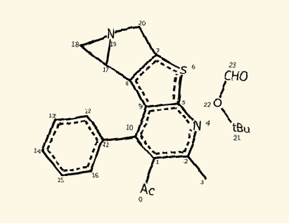 CC(=O)c1c(C)nc2sc3c(c2c1-c1ccccc1)C1CN1C3.CC(C)(C)OC=O